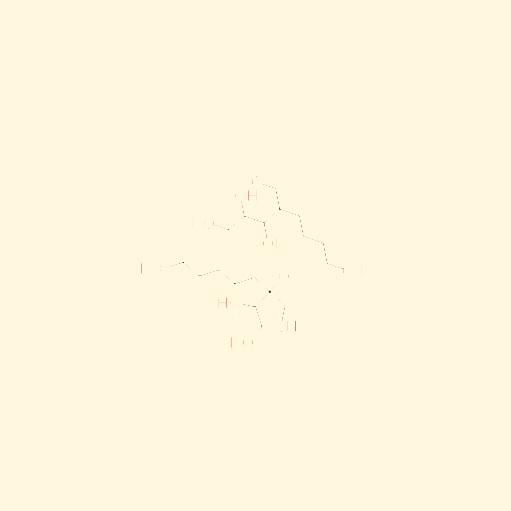 CCCCCC(CC)C(O)C(O)CO.CCCCCCC(O)(CC)C(O)CO